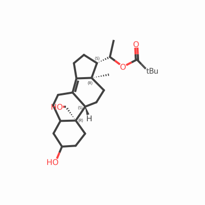 CC(OC(=O)C(C)(C)C)[C@H]1CCC2=C3CCC4CC(O)CC[C@]4(CO)[C@H]3CC[C@@]21C